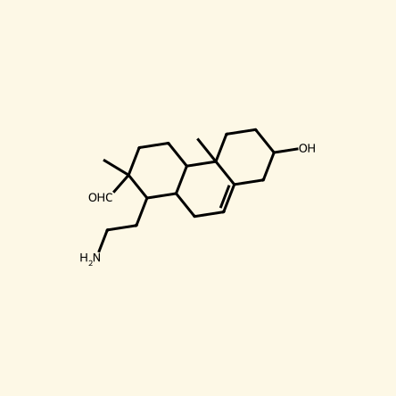 CC1(C=O)CCC2C(CC=C3CC(O)CCC32C)C1CCN